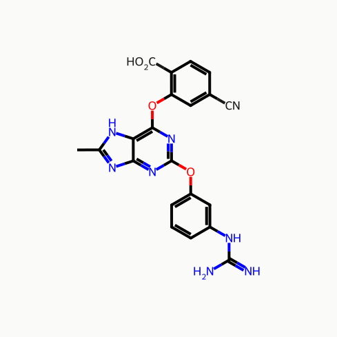 Cc1nc2nc(Oc3cccc(NC(=N)N)c3)nc(Oc3cc(C#N)ccc3C(=O)O)c2[nH]1